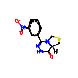 O=C1NN=C(c2cccc([N+](=O)[O-])c2)N2CSC[C@@H]12